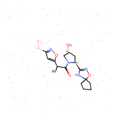 BBc1cc(C(C(=O)N2C[C@H](O)C[C@H]2C2=NOC3(CCCC3)N2)C(C)C)on1